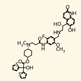 COc1cc(NC(=O)CCN(C)[C@H]2CC[C@H](OC(=O)C(O)(c3cccs3)c3cccs3)CC2)c(F)cc1CNC[C@H](O)c1c(O)ccc2[nH]c(=O)ccc12